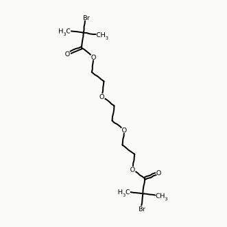 CC(C)(Br)C(=O)OCCOCCOCCOC(=O)C(C)(C)Br